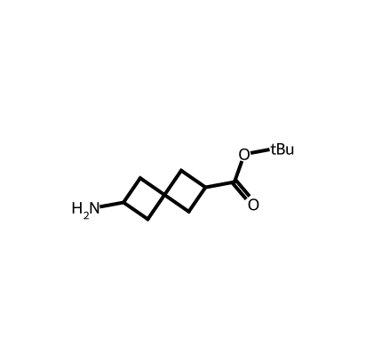 CC(C)(C)OC(=O)C1CC2(CC(N)C2)C1